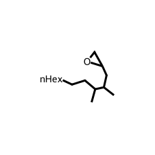 CCCCCCCCC(C)[C](C)CC1CO1